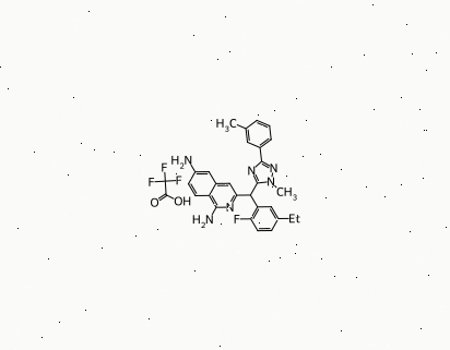 CCc1ccc(F)c(C(c2cc3cc(N)ccc3c(N)n2)c2nc(-c3cccc(C)c3)nn2C)c1.O=C(O)C(F)(F)F